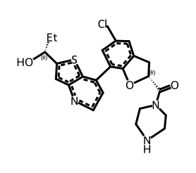 CC[C@@H](O)c1cc2nccc(-c3cc(Cl)cc4c3O[C@@H](C(=O)N3CCNCC3)C4)c2s1